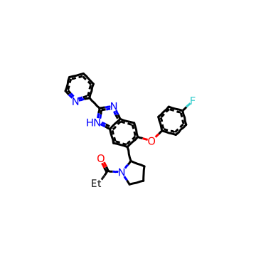 CCC(=O)N1CCCC1c1cc2[nH]c(-c3ccccn3)nc2cc1Oc1ccc(F)cc1